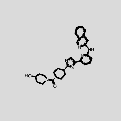 O=C([C@H]1CC[C@H](c2ncc(-c3cccc(Nc4cc5ccccc5cn4)n3)s2)CC1)N1CCC(O)CC1